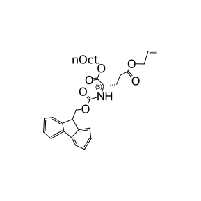 C=CCOC(=O)CC[C@H](NC(=O)OCC1c2ccccc2-c2ccccc21)C(=O)OCCCCCCCC